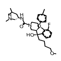 CNC[C@H](CC(C)C)NC(=O)N1CCC[C@@H]([C@@](O)(CCCCOC)c2cccc(F)c2Oc2ccc(C)cc2)C1